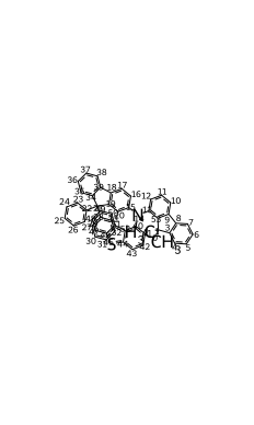 CC1(C)c2ccccc2-c2cccc(N(c3ccc4c(c3)C(c3ccccc3)(c3ccccc3)c3ccccc3-4)c3cccc4sc5ccccc5c34)c21